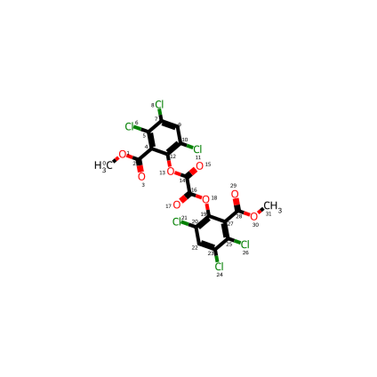 COC(=O)c1c(Cl)c(Cl)cc(Cl)c1OC(=O)C(=O)Oc1c(Cl)cc(Cl)c(Cl)c1C(=O)OC